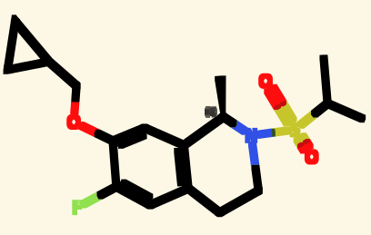 CC(C)S(=O)(=O)N1CCc2cc(F)c(OCC3CC3)cc2[C@H]1C